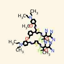 CCCN(CCC)c1ccc(/C=C/c2sc(/C=C/C3=C(C#N)C(=C(C#N)C#N)OC3(C)C(F)(F)F)cc2-c2cccc(COc3cc(N(CCC)CCC)ccc3/C=C/c3ccc(/C=C/C4=C(C#N)C(=C(C#N)C#N)OC4(C)C(F)(F)F)s3)c2)c(OC)c1